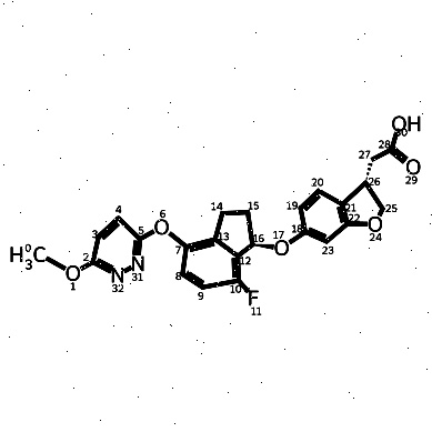 COc1ccc(Oc2ccc(F)c3c2CC[C@H]3Oc2ccc3c(c2)OC[C@H]3CC(=O)O)nn1